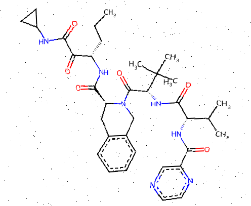 CCC[C@H](NC(=O)[C@@H]1Cc2ccccc2CN1C(=O)[C@@H](NC(=O)[C@@H](NC(=O)c1cnccn1)C(C)C)C(C)(C)C)C(=O)C(=O)NC1CC1